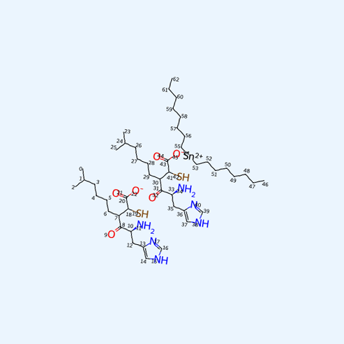 CC(C)CCCCC(C(=O)[C@@H](N)Cc1c[nH]cn1)C(S)C(=O)[O-].CC(C)CCCCC(C(=O)[C@@H](N)Cc1c[nH]cn1)C(S)C(=O)[O-].CCCCCCC[CH2][Sn+2][CH2]CCCCCCC